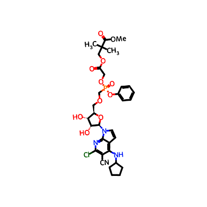 COC(=O)C(C)(C)COC(=O)COP(=O)(COC[C@H]1O[C@@H](n2ccc3c(NC4CCCC4)c(C#N)c(Cl)nc32)[C@H](O)[C@@H]1O)Oc1ccccc1